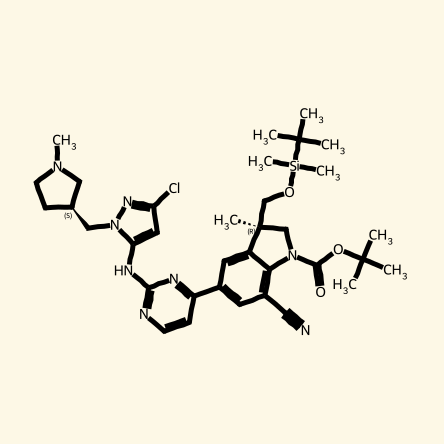 CN1CC[C@H](Cn2nc(Cl)cc2Nc2nccc(-c3cc(C#N)c4c(c3)[C@@](C)(CO[Si](C)(C)C(C)(C)C)CN4C(=O)OC(C)(C)C)n2)C1